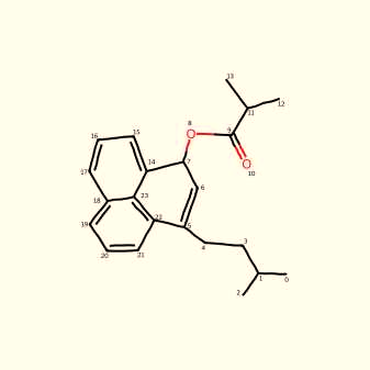 CC(C)CCC1=CC(OC(=O)C(C)C)c2cccc3cccc1c23